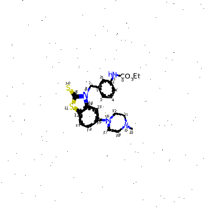 CCOC(=O)Nc1cccc(Cn2c(=S)sc3ccc(N4CCN(C)CC4)cc32)c1